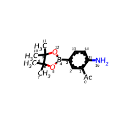 CC(=O)c1cc(B2OC(C)(C)C(C)(C)O2)ccc1N